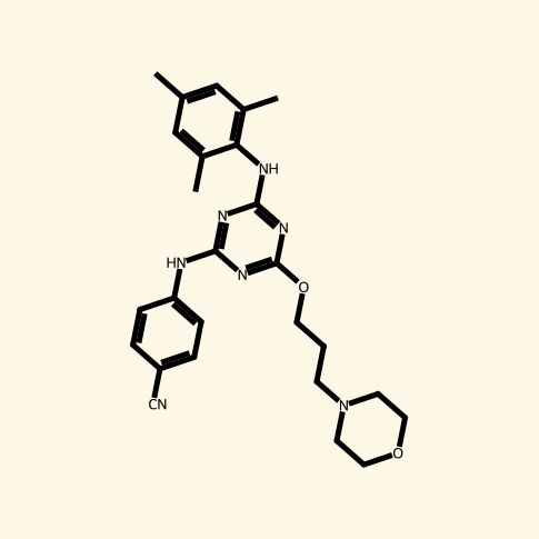 Cc1cc(C)c(Nc2nc(Nc3ccc(C#N)cc3)nc(OCCCN3CCOCC3)n2)c(C)c1